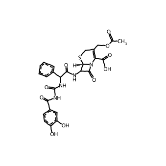 CC(=O)OCC1=C(C(=O)O)N2C(=O)C(NC(=O)C(NC(=O)NC(=O)c3ccc(O)c(O)c3)c3ccccc3)[C@@H]2SC1